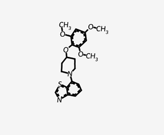 COc1cc(OC)c(OC2CCN(c3cccc4ncsc34)CC2)c(OC)c1